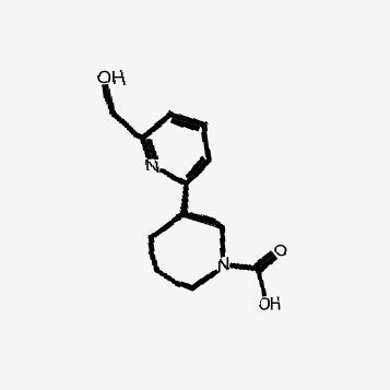 O=C(O)N1CCCC(c2cccc(CO)n2)C1